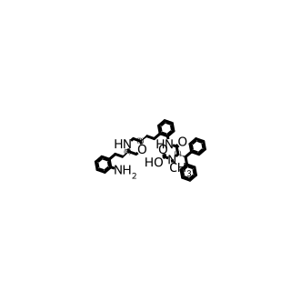 CN(C(=O)O)[C@H](C(=O)Nc1ccccc1CC[C@@H]1CN[C@H](CCc2ccccc2N)CO1)C(c1ccccc1)c1ccccc1